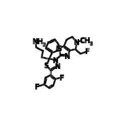 CN1CCc2sc(N3N=C(c4cc(F)ccc4F)SC3(CCCN)c3ccccc3)nc2C1CF